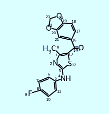 Cc1nc(Nc2ccc(F)cc2)sc1C(=O)c1ccc2c(c1)OCO2